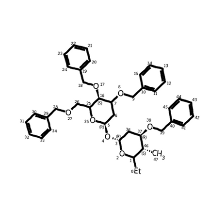 CCC1O[C@H](O[C@@H]2CC(OCc3ccccc3)[C@H](OCc3ccccc3)C(COCc3ccccc3)O2)C[C@@H](OCc2ccccc2)[C@@H]1C